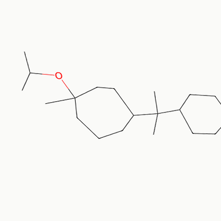 CC(C)OC1(C)CCCC(C(C)(C)C2CCCCC2)CC1